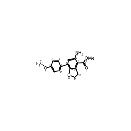 COC(=O)c1c(N)cc(-c2ccc(OC(F)(F)F)cc2)c2c1CCO2